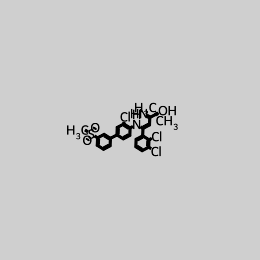 CC(C)(O)C(=N)/C=C(\Nc1ccc(-c2cccc(S(C)(=O)=O)c2)cc1Cl)c1cccc(Cl)c1Cl